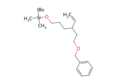 C=CC(CCCO[Si](C)(C)C(C)(C)C)CCOCc1ccccc1